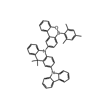 Cc1cc(C)c(B2Oc3ccccc3-c3cc(N4c5ccccc5C(C)(C)c5cc(-n6c7ccccc7c7ccccc76)ccc54)ccc32)c(C)c1